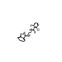 O=C(NCCNc1nsc2ccccc12)c1c(Cl)cccc1Cl